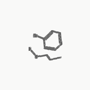 Brc1ccccc1.CCCSF